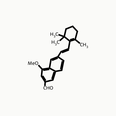 COc1cc(C=O)cc2ccc(/C=C/C3=C(C)CCCC3(C)C)cc12